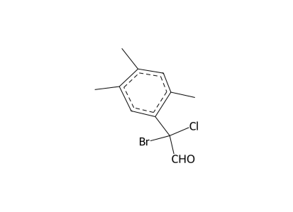 Cc1cc(C)c(C(Cl)(Br)C=O)cc1C